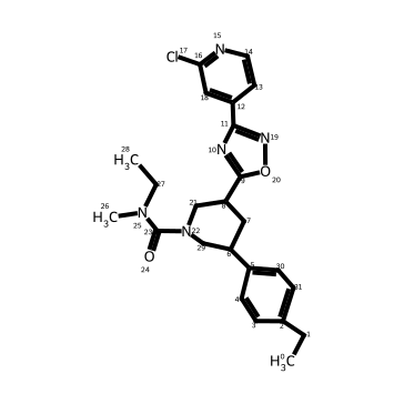 CCc1ccc(C2CC(c3nc(-c4ccnc(Cl)c4)no3)CN(C(=O)N(C)CC)C2)cc1